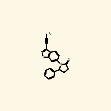 CC#Cc1nsc2cc(N3C(=O)CCC3c3ccccc3)ccc12